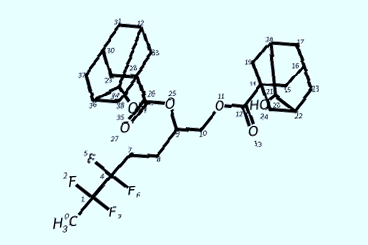 CC(F)(F)C(F)(F)CCC(COC(=O)C12CC3CC(C1)C(O)C(C3)C2)OC(=O)C12CC3CC(C1)C(O)C(C3)C2